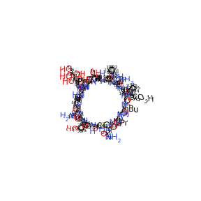 CCCC[C@H]1C(=O)N(C)[C@@H](CCCC)C(=O)N[C@@H](CC(C)C)C(=O)N[C@H](C(=O)NCC(N)=O)CSCC(=O)N[C@@H](Cc2ccc(O)cc2)C(=O)N(C)[C@@H](C)C(=O)N[C@@H](CC(N)=O)C(=O)N2CCC[C@H]2C(=O)N[C@@H](CNC[C@H](O)[C@H](O)[C@@H](O)[C@@H](O)CO)C(=O)N[C@@H](CC(C)C)C(=O)N2C[C@H](O)C[C@H]2C(=O)N[C@@H](Cc2c[nH]c3ccccc23)C(=O)N[C@@H](CCN)C(=O)N[C@@H](Cc2cn(CC(=O)O)c3ccccc23)C(=O)N1C